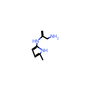 C=C(CN)Nc1ccc(C)[nH]1